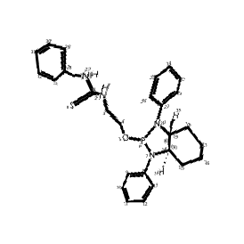 S=C(NCCOP1N(c2ccccc2)[C@@H]2CCCC[C@H]2N1c1ccccc1)Nc1ccccc1